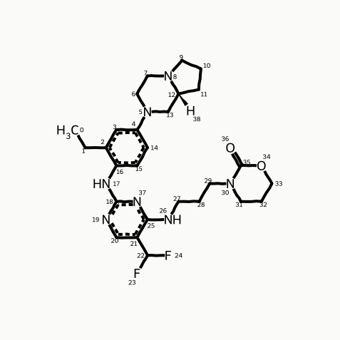 CCc1cc(N2CCN3CCC[C@@H]3C2)ccc1Nc1ncc(C(F)F)c(NCCCN2CCCOC2=O)n1